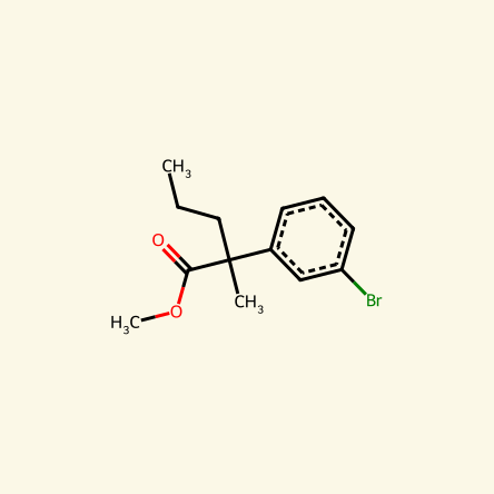 CCCC(C)(C(=O)OC)c1cccc(Br)c1